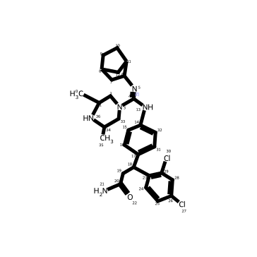 CC1CN(/C(=N\C2CC3CCC2C3)Nc2ccc(C(CC(N)=O)c3ccc(Cl)cc3Cl)cc2)CC(C)N1